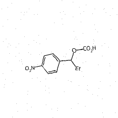 CCC(OC(=O)O)c1ccc([N+](=O)[O-])cc1